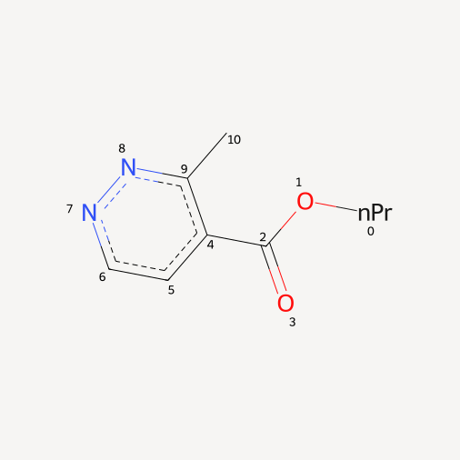 CCCOC(=O)c1ccnnc1C